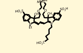 CCN1/C(=C/C=C/C2=[N+](CCCCCC(=O)O)c3ccc(S(=O)(=O)O)cc3C2(C)CCOCCOC)C(C)(CCOCCOC)c2cc(S(=O)(=O)O)ccc21